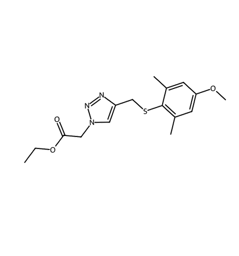 CCOC(=O)Cn1cc(CSc2c(C)cc(OC)cc2C)nn1